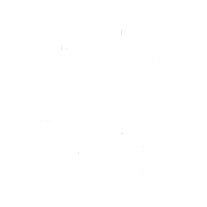 CC(C(=O)O)=C(C1C=C(C(C)(C)C)C(O)=C(C(C)(C)C)C1)C12COP(OC1)OC2